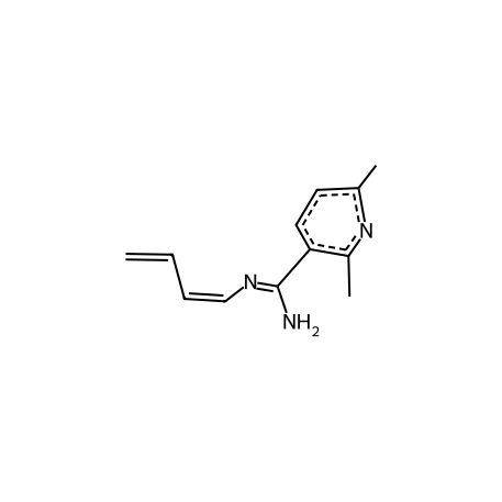 C=C/C=C\N=C(/N)c1ccc(C)nc1C